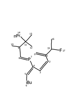 C=C(\C=C/C(=C\C(C)CC)/P=C/C(C)C(C)(C)CCC)C(C)F